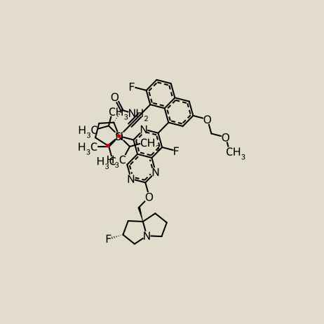 COCOc1cc(-c2nc(N3CCC[C@@H]3C(N)=O)c3cnc(OC[C@@]45CCCN4C[C@H](F)C5)nc3c2F)c2c(C#C[Si](C(C)C)(C(C)C)C(C)C)c(F)ccc2c1